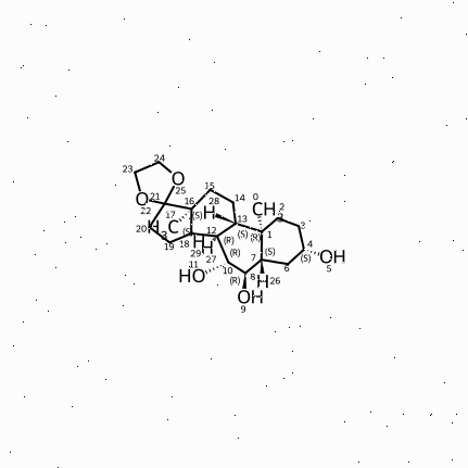 C[C@]12CC[C@H](O)C[C@@H]1[C@@H](O)[C@H](O)[C@@H]1[C@@H]2CC[C@@]2(C)[C@H]1CCC21OCCO1